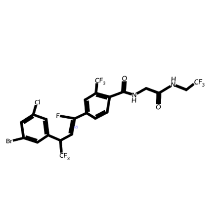 O=C(CNC(=O)c1ccc(/C(F)=C/C(c2cc(Cl)cc(Br)c2)C(F)(F)F)cc1C(F)(F)F)NCC(F)(F)F